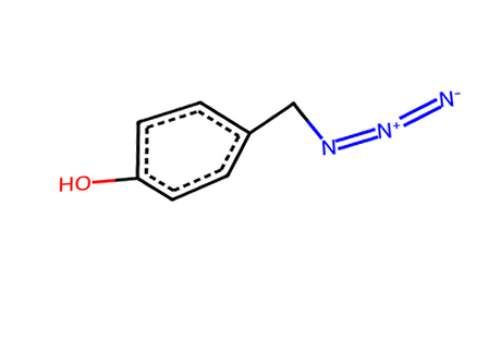 [N-]=[N+]=NCc1ccc(O)cc1